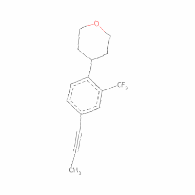 CC#Cc1ccc(C2CCOCC2)c(C(F)(F)F)c1